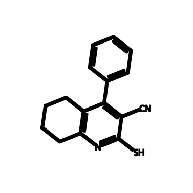 N#Cc1c(S)nc2c(c1-c1ccccc1)CCCC2